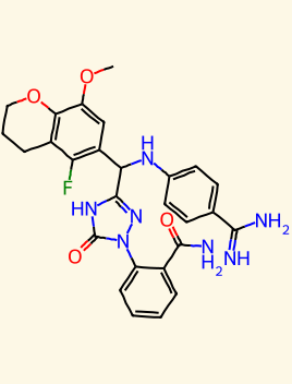 COc1cc(C(Nc2ccc(C(=N)N)cc2)c2nn(-c3ccccc3C(N)=O)c(=O)[nH]2)c(F)c2c1OCCC2